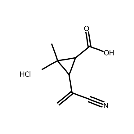 C=C(C#N)C1C(C(=O)O)C1(C)C.Cl